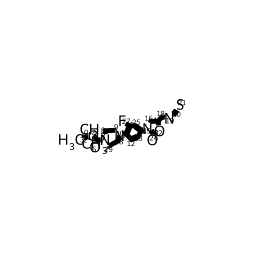 CC(C)(C)OC(=O)N1CCN(c2ccc(N3CC(CN=C=S)OC3=O)cc2F)CC1